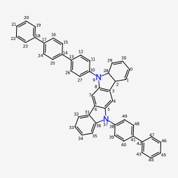 C1=CC2c3cc4c(cc3N(c3ccc(-c5ccc(-c6ccccc6)cc5)cc3)C2C=C1)c1ccccc1n4-c1ccc(-c2ccccc2)cc1